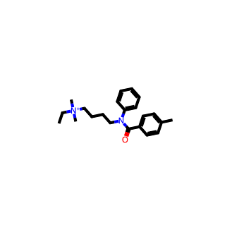 CC[N+](C)(C)CCCCN(C(=O)c1ccc(C)cc1)c1ccccc1